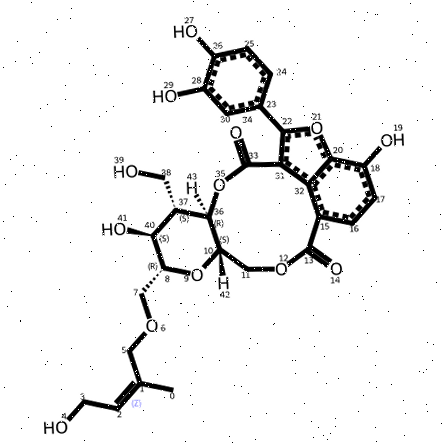 C/C(=C/CO)COC[C@H]1O[C@H]2COC(=O)c3ccc(O)c4oc(-c5ccc(O)c(O)c5)c(c34)C(=O)O[C@@H]2[C@@H](CO)[C@@H]1O